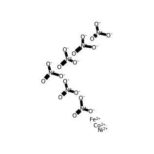 O=[N+]([O-])[O-].O=[N+]([O-])[O-].O=[N+]([O-])[O-].O=[N+]([O-])[O-].O=[N+]([O-])[O-].O=[N+]([O-])[O-].[Co+2].[Fe+2].[Ni+2]